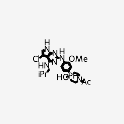 COc1cc([PH]2(O)CCN(C(C)=O)CC2)ccc1Nc1nc(NCC(C)C)c2c(Cl)c[nH]c2n1